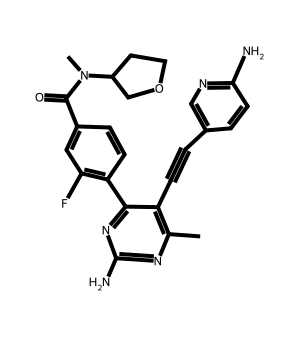 Cc1nc(N)nc(-c2ccc(C(=O)N(C)C3CCOC3)cc2F)c1C#Cc1ccc(N)nc1